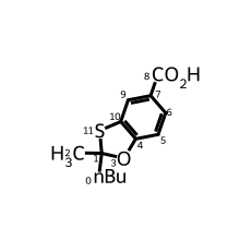 CCCCC1(C)Oc2ccc(C(=O)O)cc2S1